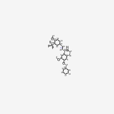 COc1cc2c(cc1OCc1ccccc1)CCNC2/C=C/c1ccc(OC)c(C(F)(F)F)c1